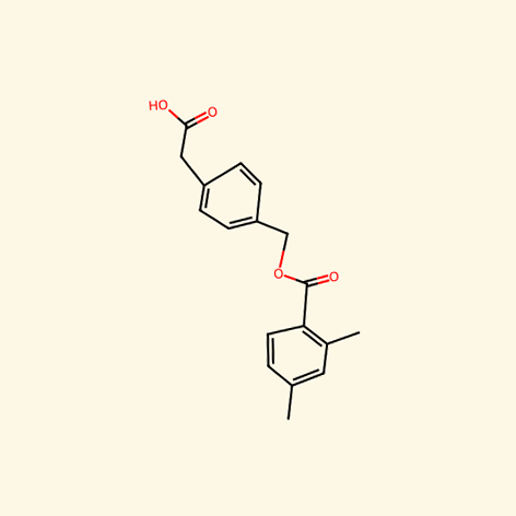 Cc1ccc(C(=O)OCc2ccc(CC(=O)O)cc2)c(C)c1